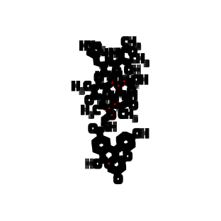 CC(=O)N[C@@H](C(=O)N[C@H](Cc1c[nH]cn1)C(=O)N[C@H](CCC(=O)O)C(=O)N[C@H](C)C(=O)N[C@H](C)C(=O)N[C@H](C)C(=O)N[C@H](CCCCCNC(=O)c1ccc(C(=O)O)c(-c2c3ccc(=O)cc-3oc3cc(O)ccc23)c1)C(N)=O)[C@H](C)O